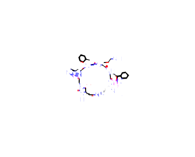 C[C@@H]1C(=O)N[C@@H](Cc2cnc[nH]2)C(=O)N[C@H](Cc2ccccc2)C(=O)N[C@@H](CCCN)C(=O)N[C@@H](Cc2c[nH]c3ccccc23)C(=O)N[C@H](C(N)=O)CCCNC(=O)C[C@@H]2NC(=O)N1C2=O